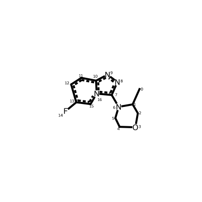 CC1COCCN1c1nnc2ccc(F)cn12